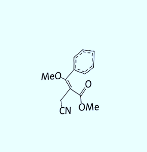 COC(=O)C(CC#N)=C(OC)c1ccccc1